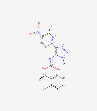 Cc1nc(-c2nnn(C)c2NC(=O)O[C@H](C)c2ccccc2F)ccc1[N+](=O)[O-]